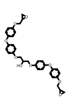 OC(COc1ccc(Oc2ccc(OCC3CO3)cc2)cc1)COc1ccc(Oc2ccc(OCC3CO3)cc2)cc1